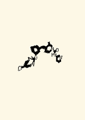 CC1CN(C(=O)Nc2cccnc2)CCC1=Cc1cccc(Oc2ncc(Cl)cn2)c1